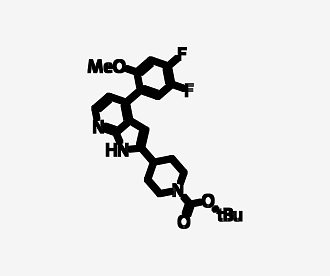 COc1cc(F)c(F)cc1-c1ccnc2[nH]c(C3CCN(C(=O)OC(C)(C)C)CC3)cc12